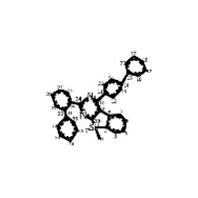 C[Si]1(C)c2ccccc2-c2c(-c3ccc(-c4ccccc4)cc3)nc(-c3ccccc3-c3ccccc3)nc21